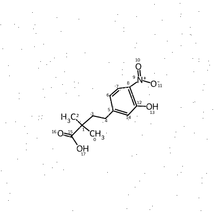 CC(C)(CCc1ccc([N+](=O)[O-])c(O)c1)C(=O)O